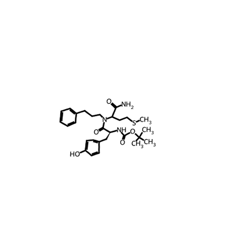 CSCCC(C(N)=O)N(CCCc1ccccc1)C(=O)[C@H](Cc1ccc(O)cc1)NC(=O)OC(C)(C)C